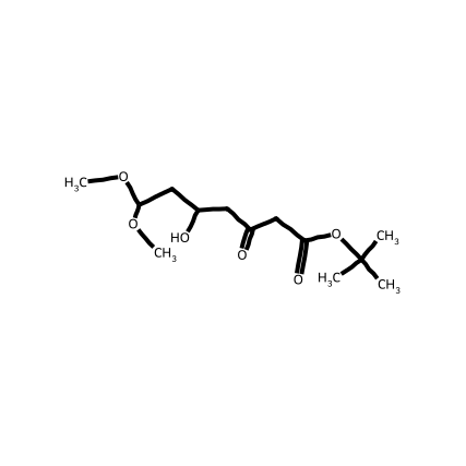 COC(CC(O)CC(=O)CC(=O)OC(C)(C)C)OC